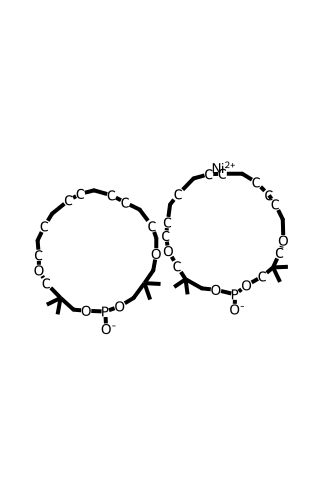 CC1(C)COCCCCCCCCCCCCOCC(C)(C)COP([O-])OC1.CC1(C)COCCCCCCCCCCCCOCC(C)(C)COP([O-])OC1.[Ni+2]